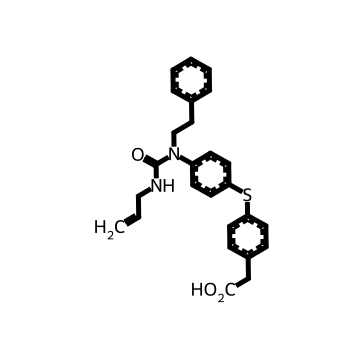 C=CCNC(=O)N(CCc1ccccc1)c1ccc(Sc2ccc(CC(=O)O)cc2)cc1